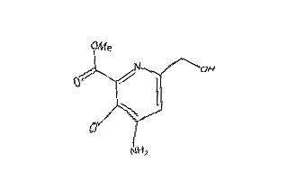 COC(=O)c1nc(CO)cc(N)c1Cl